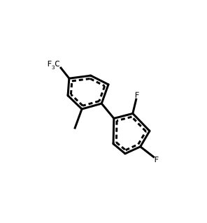 Cc1cc(C(F)(F)F)ccc1-c1ccc(F)cc1F